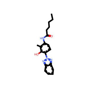 CCCCCC(=O)Nc1ccc(-n2nc3ccccc3n2)c(O)c1C